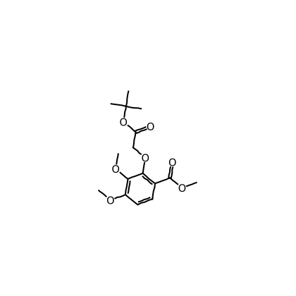 COC(=O)c1ccc(OC)c(OC)c1OCC(=O)OC(C)(C)C